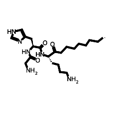 [CH2]CCCCCCCC(=O)[C@H](CCCCN)NC(=O)[C@H](Cc1c[nH]cn1)NC(=O)CN